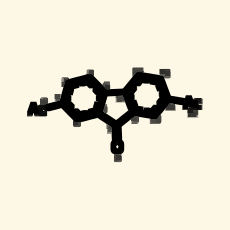 CC(=O)c1ccc2c(c1)C(=O)c1cc(C(C)=O)ccc1-2